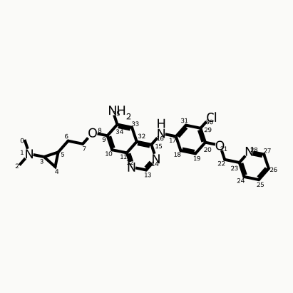 CN(C)C1CC1CCOc1cc2ncnc(Nc3ccc(OCc4ccccn4)c(Cl)c3)c2cc1N